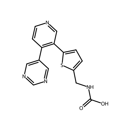 O=C(O)NCc1ccc(-c2cnccc2-c2cncnc2)s1